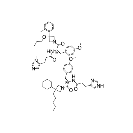 CCCCCC1(C2CCCCC2)CN(C(=O)[C@@H](Cc2ccc(OC)cc2)NC(=O)CCc2c[nH]cn2)C1.CCCCOC1(c2ccccc2C)CN(C(=O)[C@@H](Cc2ccc(OC)cc2)NC(=O)CCc2cncn2C)C1